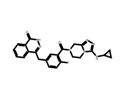 O=C(c1cc(Cc2n[nH]c(=O)c3ccccc23)ccc1F)N1CCn2c(nnc2NC2CC2)C1